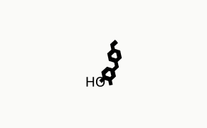 C=Cc1ccc(Cc2ccc(O)c(C)c2)cc1